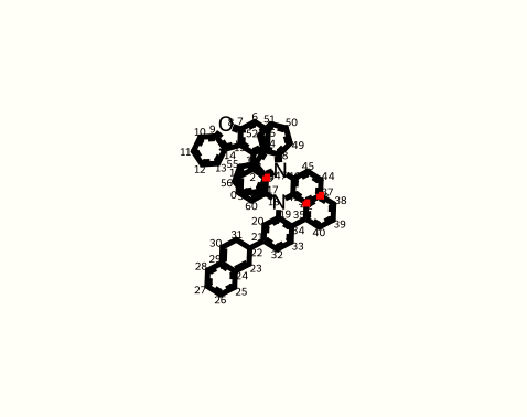 C1=CC(c2cccc3oc4ccccc4c23)CC(N(c2cc(C3C=c4ccccc4=CC3)ccc2-c2ccccc2)c2ccccc2-n2c3ccccc3c3ccccc32)=C1